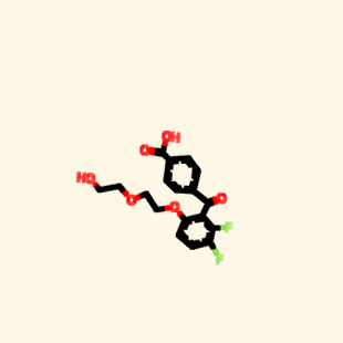 O=C(O)c1ccc(C(=O)c2c(OCCOCCO)ccc(F)c2F)cc1